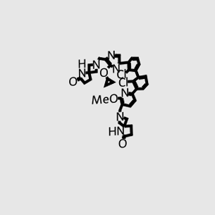 COc1nc(-c2cccc(-c3cccc(-c4cnc(CN5CC6(CCC(=O)N6)C5)c(OC5CC5)n4)c3Cl)c2Cl)ccc1CN1CC2(CCC(=O)N2)C1